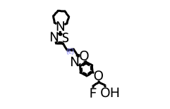 OCC(CF)Oc1ccc2nc(/C=C/c3cnc(N4CCCCCC4)s3)oc2c1